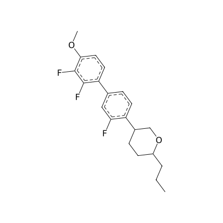 CCCC1CCC(c2ccc(-c3ccc(OC)c(F)c3F)cc2F)CO1